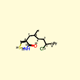 CCCC(Cl)CCC(C)Cc1cs[nH]c1=O